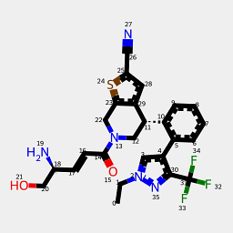 CCn1cc(-c2ccccc2[C@@H]2CN(C(=O)/C=C/[C@H](N)CO)Cc3sc(C#N)cc32)c(C(F)(F)F)n1